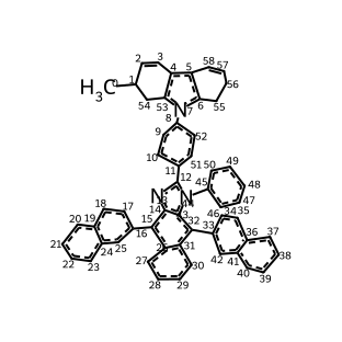 CC1C=Cc2c3c(n(-c4ccc(-c5nc6c(-c7ccc8ccccc8c7)c7ccccc7c(-c7ccc8ccccc8c7)c6n5-c5ccccc5)cc4)c2C1)CCC=C3